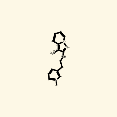 C[n+]1cccc(CCNc2nn3ccccc3c2[N+](=O)[O-])c1